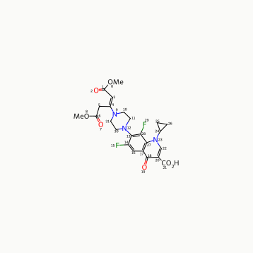 COC(=O)C=C(CC(=O)OC)N1CCN(c2c(F)cc3c(=O)c(C(=O)O)cn(C4CC4)c3c2F)CC1